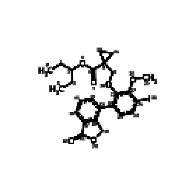 CCC(CC)OC(=O)C1(COc2c(-c3cccc4c3COC4=O)ccc(I)c2OC)CC1